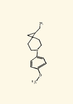 NCC1CC12CCN(c1ccc(OC(F)(F)F)cc1)CC2